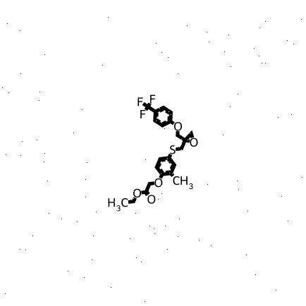 CCOC(=O)COc1ccc(SCC2(COc3ccc(C(F)(F)F)cc3)CO2)cc1C